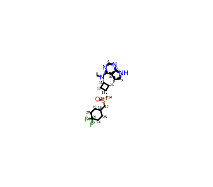 CN(c1ncnc2[nH]ccc12)[C@H]1C[C@@H](C[S+]([O-])CC2CCC(F)(F)CC2)C1